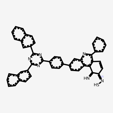 N=C1/C(=N\S)C=Cc2c(-c3ccccc3)nc3cc(-c4ccc(-c5nc(-c6ccc7ccccc7c6)nc(-c6ccc7ccccc7c6)n5)cc4)ccc3c21